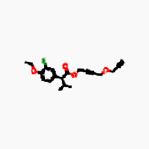 C#CCOCC#CCOC(=O)C(c1ccc(OCC)c(F)c1)C(C)C